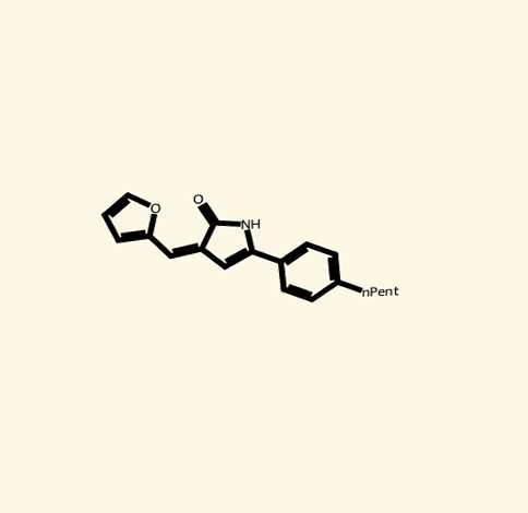 CCCCCc1ccc(C2=CC(=Cc3ccco3)C(=O)N2)cc1